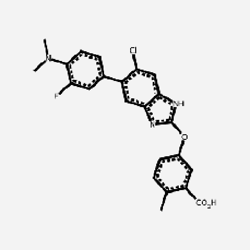 Cc1ccc(Oc2nc3cc(-c4ccc(N(C)C)c(F)c4)c(Cl)cc3[nH]2)cc1C(=O)O